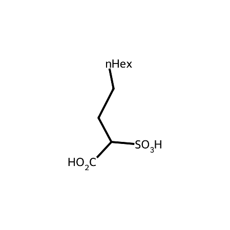 CCCCCCCCC(C(=O)O)S(=O)(=O)O